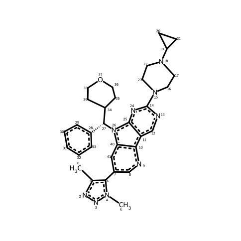 Cc1nnn(C)c1-c1cnc2c3cnc(N4CCN(C5CC5)CC4)nc3n([C@H](c3ccccc3)C3CCOCC3)c2c1